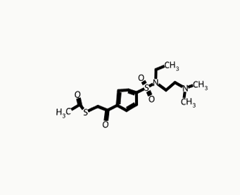 CCN(CCN(C)C)S(=O)(=O)c1ccc(C(=O)CSC(C)=O)cc1